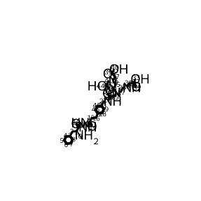 N[C@H](Cc1ccccc1)C(=O)NNC(=O)CCc1ccc(CNC(=O)CN(CCNCC(=O)O)CCN(CC(=O)O)CC(=O)O)cc1